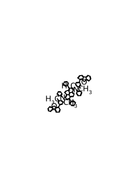 Cc1cc(-c2cccc3c2oc2ccccc23)cc(C)c1N(c1ccccc1)c1cc(-c2ccccc2)c2ccc3c(N(c4ccccc4)c4c(C)cc(-c5cccc6c5oc5ccccc56)cc4C)cc(-c4ccccc4)c4ccc1c2c43